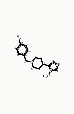 Cn1cnnc1C1CCN(Cc2ccc(Br)cc2)CC1